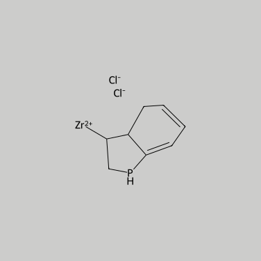 [Cl-].[Cl-].[Zr+2][CH]1CPC2=CC=CCC21